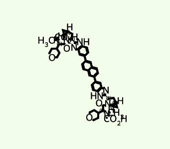 CN(C(=O)O)[C@H](C(=O)N1[C@@H]2C[C@@H]2C[C@H]1c1nc2cc(-c3ccc4cc(-c5ccc6[nH]c([C@@H]7C[C@H]8C[C@H]8N7C(=O)[C@H](C7CCOCC7)N(C)C(=O)O)nc6c5)ccc4c3)ccc2[nH]1)C1CCOCC1